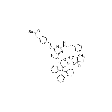 CN(C)P(=O)(Cl)OC[C@@H]1CN(C(c2ccccc2)(c2ccccc2)c2ccccc2)C[C@H](n2cnc3c(OCc4ccc(OC(=O)C(C)(C)C)cc4)nc(NCCc4ccccc4)nc32)O1